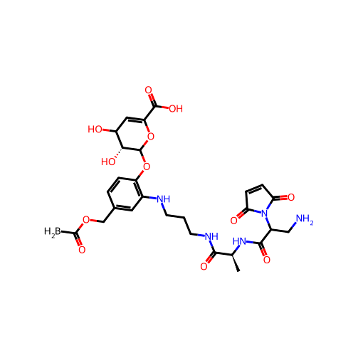 BC(=O)OCc1ccc(OC2OC(C(=O)O)=CC(O)[C@H]2O)c(NCCCNC(=O)[C@H](C)NC(=O)C(CN)N2C(=O)C=CC2=O)c1